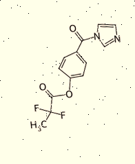 CC(F)(F)C(=O)Oc1ccc(C(=O)n2ccnc2)cc1